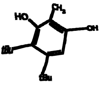 Cc1c(O)cc(C(C)(C)C)c(C(C)(C)C)c1O